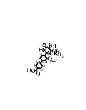 CCOc1cc(-c2ccc(C(=O)O)cc2)ccc1-c1nc(NN)c(N)c(=O)[nH]1